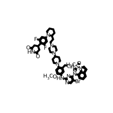 CCc1cc(Nc2ncc(Br)c(Nc3cccc4ccn(S(C)(=O)=O)c34)n2)c(OC)cc1N1CCC(N2CCN(CCC3CCCCN3c3cc(F)c(C4CC(=O)NC(=O)C4)c(F)c3)CC2)CC1